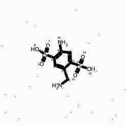 NCc1cc(S(=O)(=O)O)c(N)cc1S(=O)(=O)O